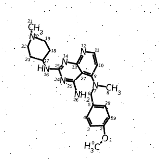 COc1ccc(CN(C)c2ccnc3nc(NC4CCN(C)CC4)nc(N)c23)cc1